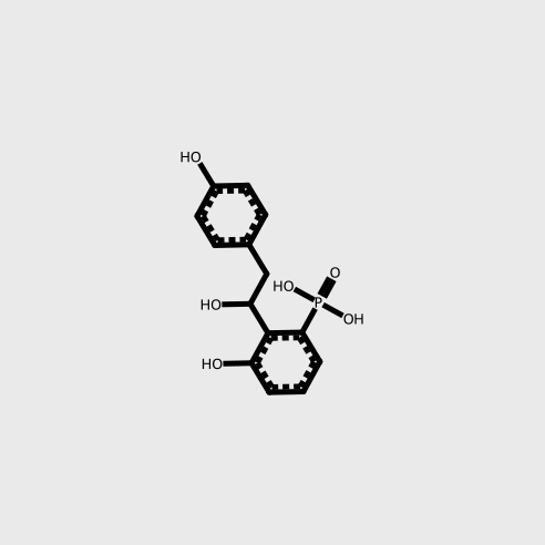 O=P(O)(O)c1cccc(O)c1C(O)Cc1ccc(O)cc1